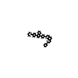 c1ccc(-c2ccc3ccc4ccc(-c5ccc(-c6ccc(-c7ccc(-c8ncccn8)cc7)c7ccccc67)cc5)nc4c3n2)cc1